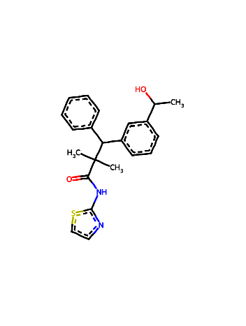 CC(O)c1cccc(C(c2ccccc2)C(C)(C)C(=O)Nc2nccs2)c1